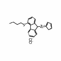 CCCCSc1cccc2c1-c1ccccc1[CH]2[Zr+2][C]1=CC=CC1.[Cl-].[Cl-]